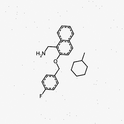 CC1CCCCC1.NCc1c(OCc2ccc(F)cc2)ccc2ccccc12